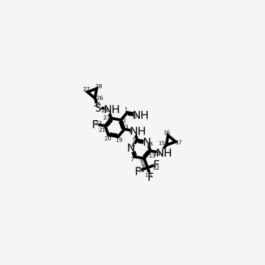 N=Cc1c(Nc2ncc(C(F)(F)F)c(NC3CC3)n2)ccc(F)c1NSC1CC1